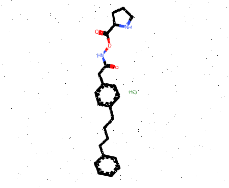 Cl.O=C(Cc1ccc(CCCCc2ccccc2)cc1)NOC(=O)C1CCCN1